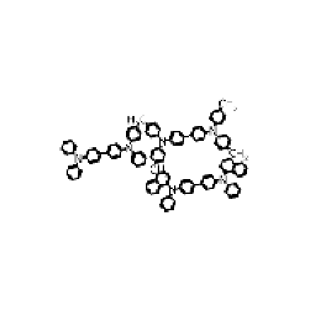 Cc1ccc(N(c2ccc(C)cc2)c2ccc(-c3ccc(N(c4ccc(C)cc4)c4ccc(C)cc4)cc3)cc2)cc1.c1ccc(N(c2ccc(-c3ccc(N(c4ccccc4)c4cccc5ccccc45)cc3)cc2)c2cccc3ccccc23)cc1.c1ccc(N(c2ccccc2)c2ccc(-c3ccc(N(c4ccccc4)c4ccccc4)cc3)cc2)cc1